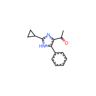 CC(=O)c1nc(C2CC2)[nH]c1-c1ccccc1